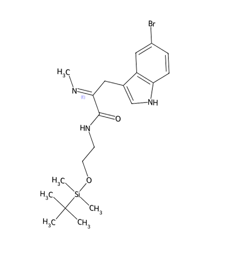 C/N=C(\Cc1c[nH]c2ccc(Br)cc12)C(=O)NCCO[Si](C)(C)C(C)(C)C